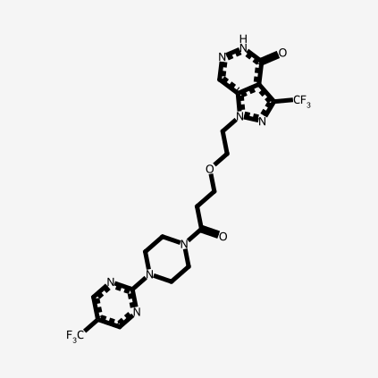 O=C(CCOCCn1nc(C(F)(F)F)c2c(=O)[nH]ncc21)N1CCN(c2ncc(C(F)(F)F)cn2)CC1